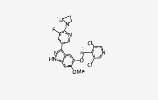 COc1cc2[nH]nc(-c3cnc(N4CC[C@H]4C)c(F)c3)c2cc1O[C@H](C)c1c(Cl)cncc1Cl